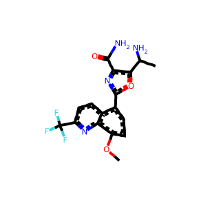 COc1ccc(-c2nc(C(N)=O)c(C(C)N)o2)c2ccc(C(F)(F)F)nc12